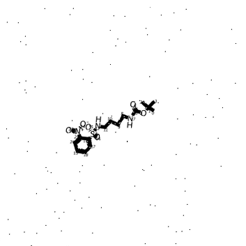 CC(C)(C)OC(=O)NCCCCNS(=O)(=O)c1ccccc1[N+](=O)[O-]